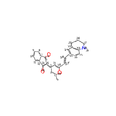 CC1=CC(=C2C(=O)c3ccccc3C2=O)C=C(/C=C/c2ccc3c(c2)CCCN3C)O1